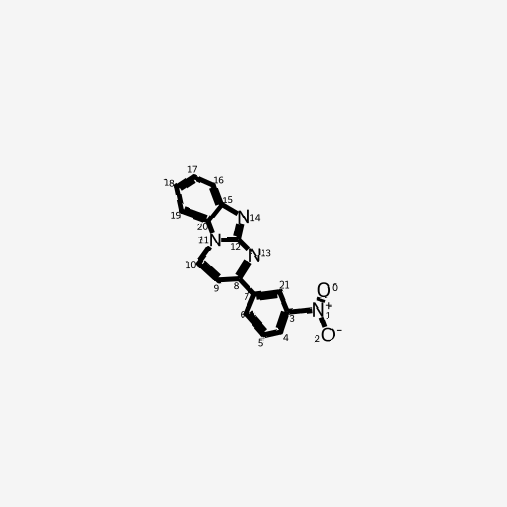 O=[N+]([O-])c1cccc(-c2ccn3c(n2)nc2ccccc23)c1